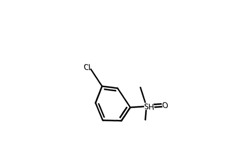 C[SH](C)(=O)c1cccc(Cl)c1